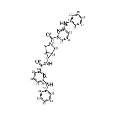 O=C(NC1C2CN(C(=O)c3cccc(Nc4ccccc4)n3)CC21)c1cccc(Nc2ccccc2)n1